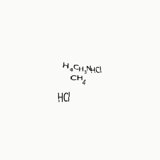 C.C.Cl.Cl.N